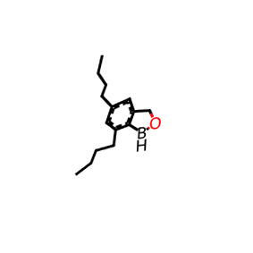 CCCCc1cc(CCCC)c2c(c1)COB2